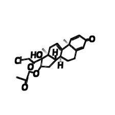 CC(=O)COC1C[C@H]2[C@@H]3CCC4=CC(=O)C=C[C@]4(C)C3=CC[C@]2(C)[C@@]1(O)C(=O)CCl